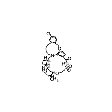 C[C@H]1CO[C@@H]2C[C@H]1OCCS(=O)(=O)NC(=O)c1ccc3c(c1)N(CCCCc1cc(Cl)ccc1CO3)C[C@@H]1CC[C@H]12